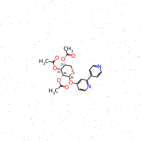 CC(=O)O[C@@H]1[C@@H](OC(C)=O)[C@H](OC(C)=O)CS[C@H]1Oc1ccnc(-c2ccncc2)c1